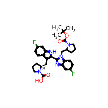 CC(C)(C)OC(=O)N1CCCC1Cn1c(-c2[nH]c3cc(F)ccc3c2C[C@@H]2CCCN2C(=O)O)nc2cc(F)ccc21